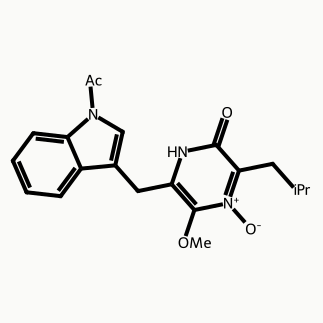 COc1c(Cc2cn(C(C)=O)c3ccccc23)[nH]c(=O)c(CC(C)C)[n+]1[O-]